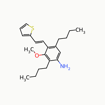 CCCCc1cc(N)c(CCCC)c(OC)c1C=Cc1cccs1